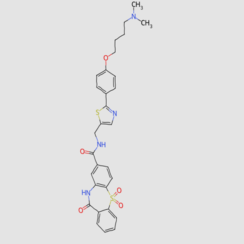 CN(C)CCCCOc1ccc(-c2ncc(CNC(=O)c3ccc4c(c3)NC(=O)c3ccccc3S4(=O)=O)s2)cc1